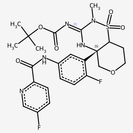 CN1/C(=N/C(=O)OC(C)(C)C)N[C@@]2(c3cc(NC(=O)c4ccc(F)cn4)ccc3F)COCCC2S1(=O)=O